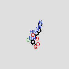 COC(=O)c1ccc(Cl)c(NC(=O)c2cc3ccc(N4CCN(C)CC4)nc3[nH]c2=O)c1